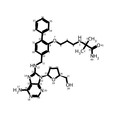 CC(C)(NCCCOc1cc(CNc2nc3c(N)ncnc3n2[C@H]2CC[C@@H](CO)O2)ccc1-c1ccccc1)C(N)=O